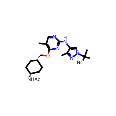 CC(=O)N[C@H]1CC[C@H](COc2nc(Nc3cn(C(C)(C)C#N)nc3C)ncc2C)CC1